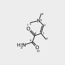 CC(=CN(C)C)C(=O)C(N)=O